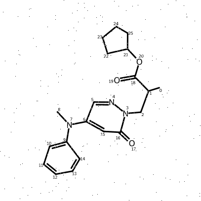 CC(Cn1ncc(N(C)c2ccccc2)cc1=O)C(=O)OC1CCCC1